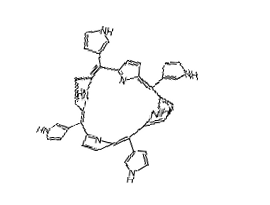 C1=Cc2nc1c(-c1cc[nH]c1)c1ccc([nH]1)c(-c1cc[nH]c1)c1nc(c(-c3cc[nH]c3)c3ccc([nH]3)c2-c2cc[nH]c2)C=C1